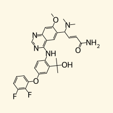 COc1cc2ncnc(Nc3ccc(Oc4cccc(F)c4F)cc3C(C)(C)O)c2cc1C(C=CC(N)=O)N(C)C